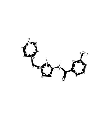 Cc1cccc(C(=O)Nc2ccn(Cc3ccncc3)n2)c1